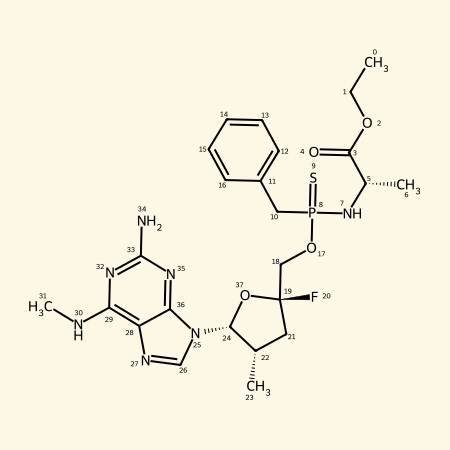 CCOC(=O)[C@H](C)NP(=S)(Cc1ccccc1)OC[C@]1(F)C[C@H](C)[C@H](n2cnc3c(NC)nc(N)nc32)O1